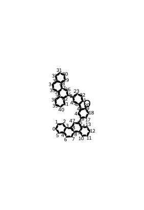 c1ccc2c(c1)ccc1c3ccccc3c(-c3ccc4oc5ccc(-c6cc7c8ccccc8ccc7c7ccccc67)cc5c4c3)cc21